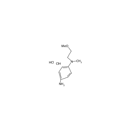 COCCN(C)c1ccc(N)cc1.Cl.Cl